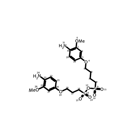 COc1cc(OCCCCS(=O)(=O)OS(=O)(=O)CCCOc2ccc(N)c(OC)c2)ccc1N